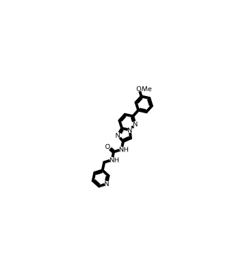 COc1cccc(-c2ccc3nc(NC(=O)NCc4cccnc4)cn3n2)c1